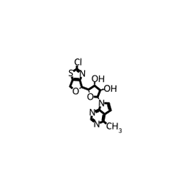 Cc1ncnc2c1ccn2[C@@H]1O[C@H]([C@@H]2OCc3sc(Cl)nc32)[C@@H](O)[C@H]1O